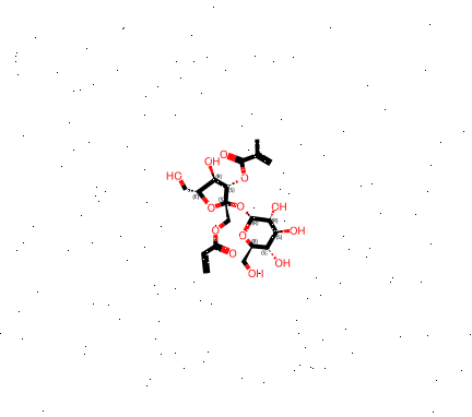 C=CC(=O)OC[C@@]1(O[C@H]2O[C@H](CO)[C@@H](O)[C@H](O)[C@H]2O)O[C@H](CO)[C@@H](O)[C@@H]1OC(=O)C(=C)C